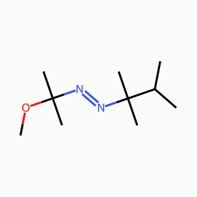 COC(C)(C)N=NC(C)(C)C(C)C